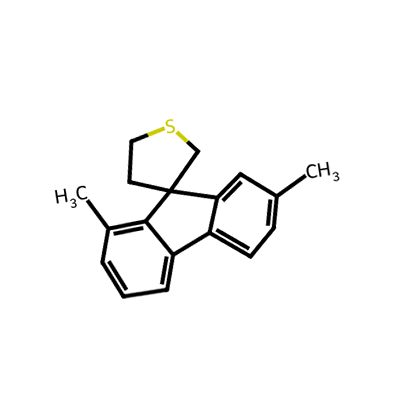 Cc1ccc2c(c1)C1(CCSC1)c1c(C)cccc1-2